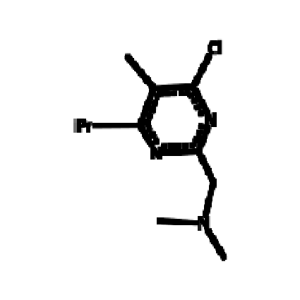 Cc1c(Cl)nc(CN(C)C)nc1C(C)C